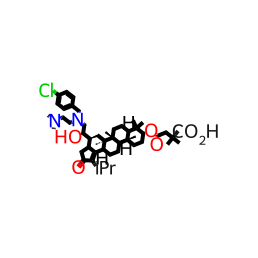 CC(C)C1=C2C(CC1=O)[C@@H]([C@H](O)CN(CCN(C)C)Cc1ccc(Cl)cc1)C[C@]1(C)[C@@H]2CC[C@@H]2[C@@]3(C)CC[C@H](OC(=O)CC(C)(C)C(=O)O)C(C)(C)[C@@H]3CC[C@]21C